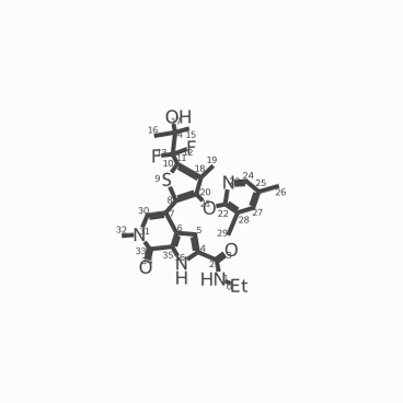 CCNC(=O)c1cc2c(-c3sc(C(F)(F)C(C)(C)O)c(C)c3Oc3ncc(C)cc3C)cn(C)c(=O)c2[nH]1